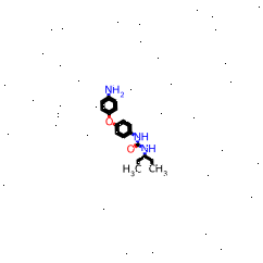 CCC(CC)NC(=O)Nc1ccc(Oc2ccc(N)cc2)cc1